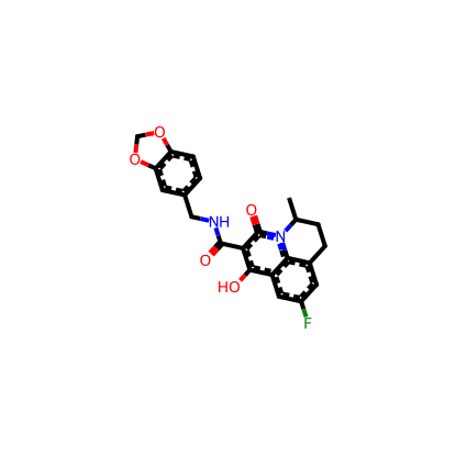 CC1CCc2cc(F)cc3c(O)c(C(=O)NCc4ccc5c(c4)OCO5)c(=O)n1c23